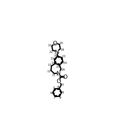 O=C(OCc1ccccc1)N1CCCc2cc(N3CCOCC3)ccc2C1